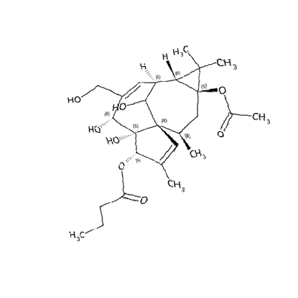 CCCC(=O)O[C@H]1C(C)=C[C@]23C(O)[C@@H](C=C(CO)[C@@H](O)[C@]12O)[C@@H]1C(C)(C)[C@]1(OC(C)=O)C[C@H]3C